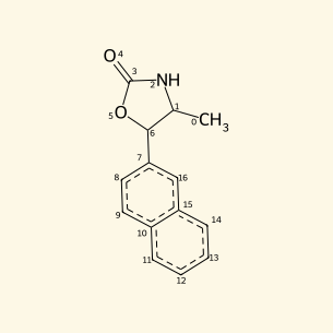 CC1NC(=O)OC1c1ccc2ccccc2c1